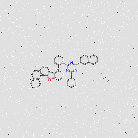 c1ccc(-c2nc(-c3ccc4ccccc4c3)nc(-c3ccccc3-c3cccc4oc5c(ccc6ccc7ccccc7c65)c34)n2)cc1